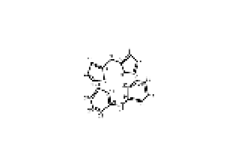 C1=CCC(CC2=CC=CC2)=C1.c1cc[c]([Ti][c]2ccccc2)cc1